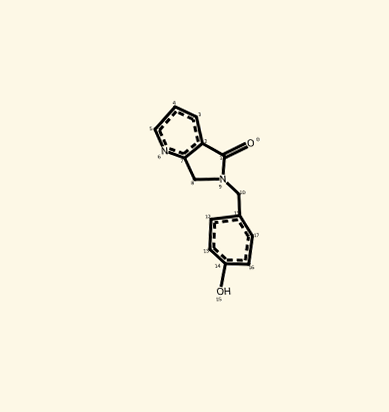 O=C1c2cccnc2CN1Cc1ccc(O)cc1